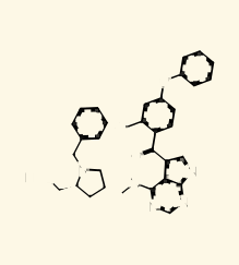 CC[C@@H]1C[C@@H](CNc2ncnc3[nH]cc(C(=O)c4ccc(Oc5ccccc5)cc4Cl)c23)CN1Cc1ccccc1